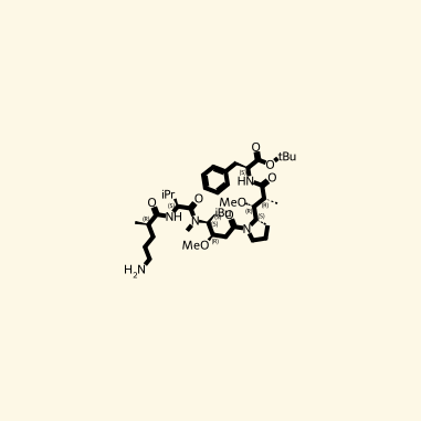 CC[C@H](C)[C@@H]([C@@H](CC(=O)N1CCC[C@H]1[C@H](OC)[C@@H](C)C(=O)N[C@@H](Cc1ccccc1)C(=O)OC(C)(C)C)OC)N(C)C(=O)[C@@H](NC(=O)[C@H](C)CCCN)C(C)C